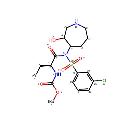 CC(C)C[C@H](NC(=O)OC(C)(C)C)C(=O)N(C1CCCNCC1O)S(=O)(=O)c1cccc(Cl)c1